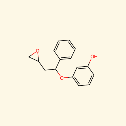 Oc1cccc(OC(CC2CO2)c2ccccc2)c1